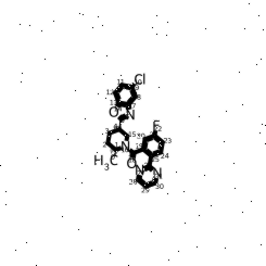 C[C@@H]1CC[C@@H](c2nc3cc(Cl)ccc3o2)CN1C(=O)c1cc(F)ccc1-c1ncccn1